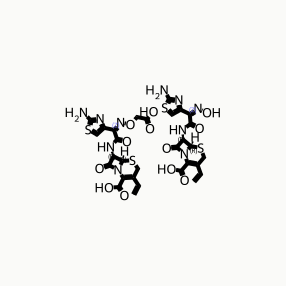 C=CC1=C(C(=O)O)N2C(=O)[C@@H](NC(=O)/C(=N\O)c3csc(N)n3)[C@H]2SC1.C=CC1=C(C(=O)O)N2C(=O)[C@@H](NC(=O)/C(=N\OCC(=O)O)c3csc(N)n3)[C@H]2SC1